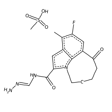 CS(=O)(=O)O.Cc1c(F)cc2c3c1cc(C(=O)NC=NN)n3CCCCC2=O